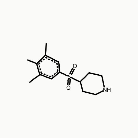 Cc1cc(S(=O)(=O)C2CCNCC2)cc(C)c1C